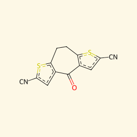 [C-]#[N+]c1cc2c(s1)CCc1sc(C#N)cc1C2=O